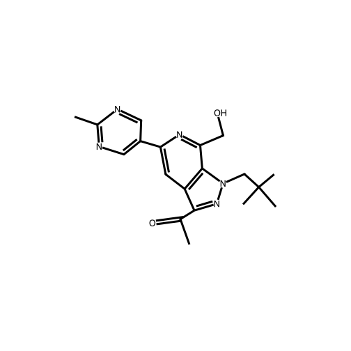 CC(=O)c1nn(CC(C)(C)C)c2c(CO)nc(-c3cnc(C)nc3)cc12